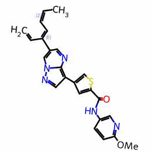 C=C/C(=C\C=C/C)c1cnc2c(-c3csc(C(=O)Nc4ccc(OC)nc4)c3)cnn2c1